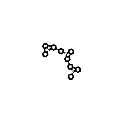 c1ccc(-n2c3ccccc3c3cc(-c4ccc5c(c4)c4ccccc4n5-c4ccc(-c5ccc6c7cccc8c9ccccc9n(c6c5)c87)cc4)ccc32)cc1